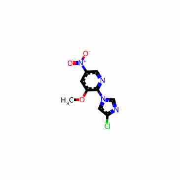 COc1cc([N+](=O)[O-])cnc1-n1cnc(Cl)c1